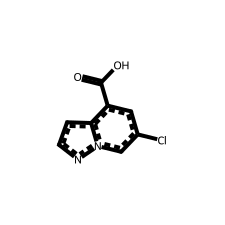 O=C(O)c1cc(Cl)cn2nccc12